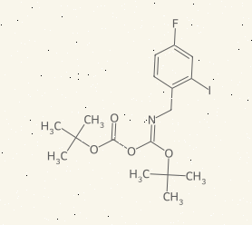 CC(C)(C)OC(=O)O/C(=N/Cc1ccc(F)cc1I)OC(C)(C)C